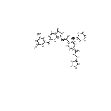 O=C(Nc1n[nH]c2ccc(Cc3cc(F)cc(F)c3)cc12)c1ccc(NCCN2CCCC2)cc1NC1CCOCC1